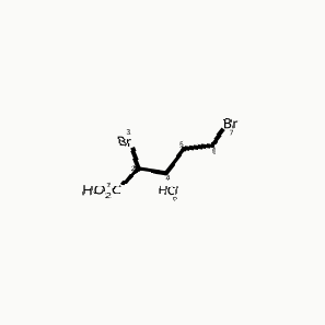 Cl.O=C(O)C(Br)CCCBr